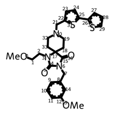 COCCN1C(=O)N(Cc2cccc(OC)c2)C(=O)C12CCN(Cc1ccc(-c3cccs3)s1)CC2